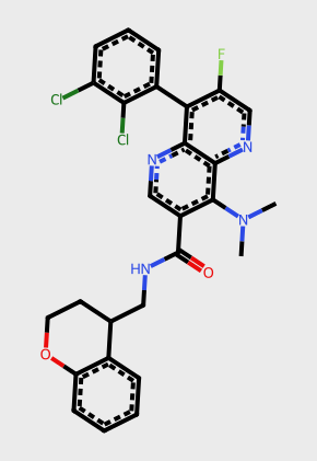 CN(C)c1c(C(=O)NCC2CCOc3ccccc32)cnc2c(-c3cccc(Cl)c3Cl)c(F)cnc12